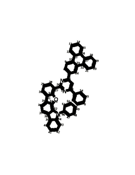 c1ccc(-c2cc(-c3ccc4c5ccccc5c5ccccc5c4c3)nc(-c3cccc4c3oc3c4ccc4c5ccccc5n(-c5ccccc5)c43)n2)cc1